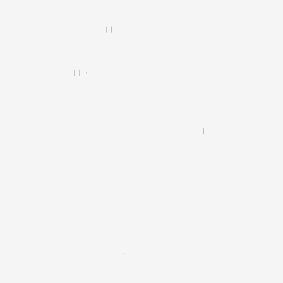 CC(C)=CCCC(C)=CCCOC(=O)O